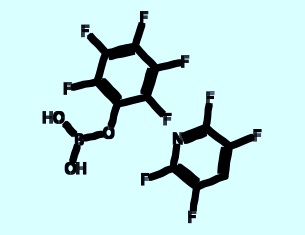 Fc1cc(F)c(F)nc1F.OB(O)Oc1c(F)c(F)c(F)c(F)c1F